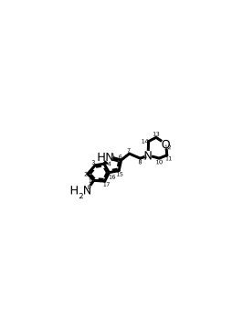 Nc1ccc2[nH]c(CCN3CCOCC3)cc2c1